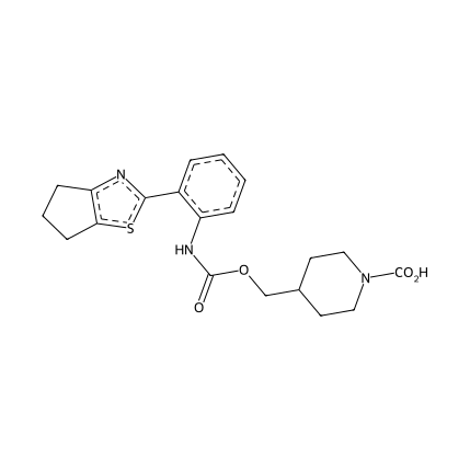 O=C(Nc1ccccc1-c1nc2c(s1)CCC2)OCC1CCN(C(=O)O)CC1